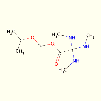 CNC(NC)(NC)C(=O)OCOC(C)C